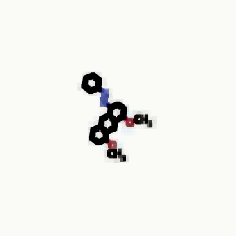 COc1cccc2cc3c(N=Nc4ccccc4)ccc(OC)c3cc12